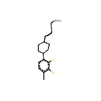 CCCC(C)CCCC1CCC(c2ccc(C)c(F)c2F)CC1